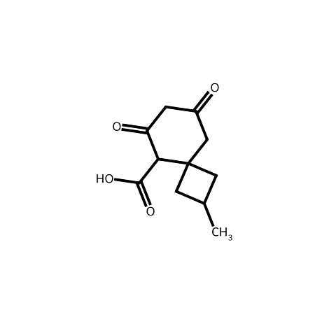 CC1CC2(CC(=O)CC(=O)C2C(=O)O)C1